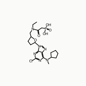 CCN(CC1CCC(n2cnc3c(N(C)C4CCCC4)nc(Cl)nc32)O1)C(=O)CP(=O)(O)O